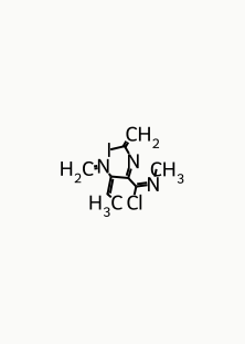 C=NC(=C/C)/C(=N\C(=C)I)C(/Cl)=N\C